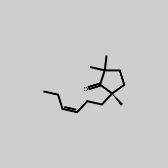 CC/C=C\CC[C@@]1(C)CCC(C)(C)C1=O